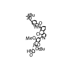 COc1cc(-c2nccc(-c3cccc(NC(=O)c4ccc(CO[Si](C)(C)C(C)(C)C)cn4)c3C)c2Cl)ccc1CN(C[C@@H]1CCC(=O)N1)C(=O)OC(C)(C)C